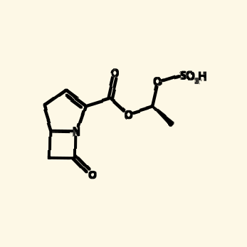 C[C@@H](OC(=O)C1=CCC2CC(=O)N12)OS(=O)(=O)O